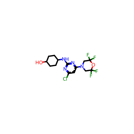 OC1CCC(Nc2nc(Cl)cc(N3CC(F)(F)OC(F)(F)C3)n2)CC1